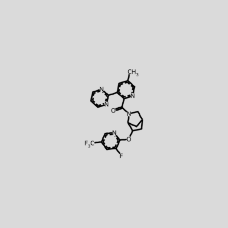 Cc1cnc(C(=O)N2CC3CC(Oc4ncc(C(F)(F)F)cc4F)C2C3)c(-c2ncccn2)c1